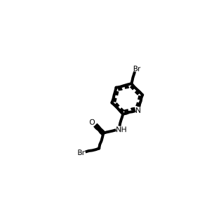 O=C(CBr)Nc1ccc(Br)cn1